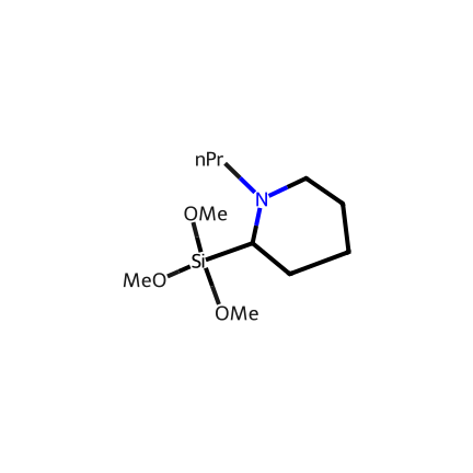 CCCN1CCCCC1[Si](OC)(OC)OC